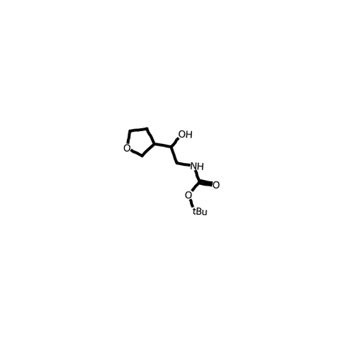 CC(C)(C)OC(=O)NCC(O)C1CCOC1